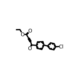 CCOC(=O)C#CC(=O)c1ccc(-c2ccc(Cl)cc2)cc1